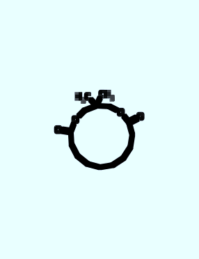 CC1(C)COC(=O)CCCCCCCCC(=O)OC1